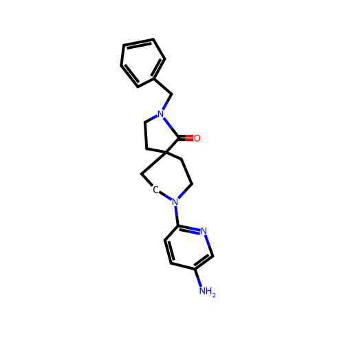 Nc1ccc(N2CCC3(CCN(Cc4ccccc4)C3=O)CC2)nc1